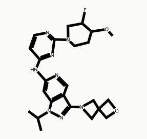 COC1CCN(c2nccc(Nc3cc4c(cn3)c(N3CC5(COC5)C3)nn4C(C)C)n2)CC1F